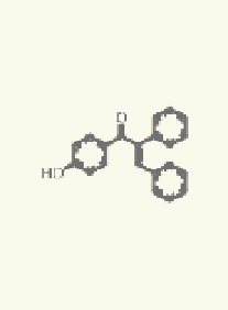 O=C(/C(=C/c1ccccc1)c1ccccc1)c1ccc(O)cc1